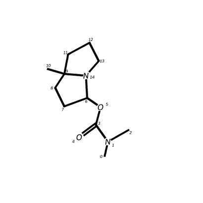 CN(C)C(=O)OC1CCC2(C)CCCN12